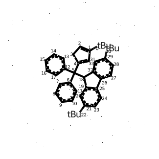 CC(C)(C)C1=CCC(C(c2ccccc2)(c2ccccc2)C2c3cc(C(C)(C)C)ccc3-c3ccc(C(C)(C)C)cc32)=C1